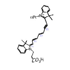 CCC[N+]1=C(/C=C/C=C/C=C/C=C2/N(CCC(=O)O)c3ccccc3C2(C)C)C(C)(C)c2ccccc21